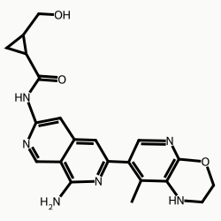 Cc1c(-c2cc3cc(NC(=O)C4CC4CO)ncc3c(N)n2)cnc2c1NCCO2